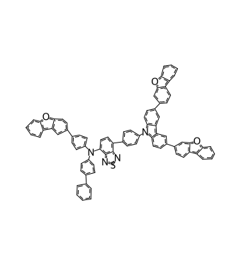 c1ccc(-c2ccc(N(c3ccc(-c4ccc5oc6ccccc6c5c4)cc3)c3ccc(-c4ccc(-n5c6ccc(-c7ccc8c(c7)oc7ccccc78)cc6c6cc(-c7ccc8c(c7)oc7ccccc78)ccc65)cc4)c4nsnc34)cc2)cc1